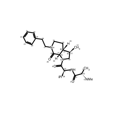 CN[C@@H](C)C(=O)N[C@H](C(=O)N1C[C@H](C)[C@H]2CCN(CCc3ccccc3)C(=O)[C@H]21)C(C)C